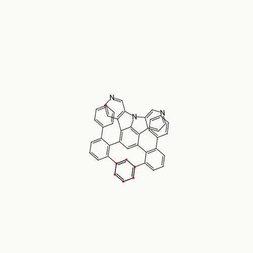 c1ccc(-c2cccc(-c3ccccc3)c2-c2cc(-c3c(-c4ccccc4)cccc3-c3ccccc3)c3c4ccncc4n4c5cnccc5c2c34)cc1